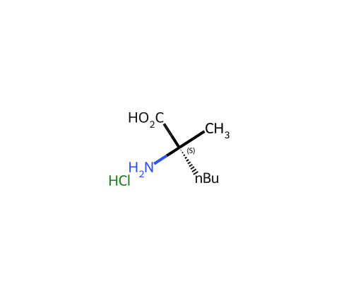 CCCC[C@](C)(N)C(=O)O.Cl